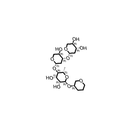 C[C@@H]1O[C@@H](O[C@@H]2CCCOC2)[C@H](O)[C@H](O)[C@H]1O[C@H]1C[C@@H](O[C@H]2C[C@@H](O)[C@H](O)CO2)[C@H](O)CO1